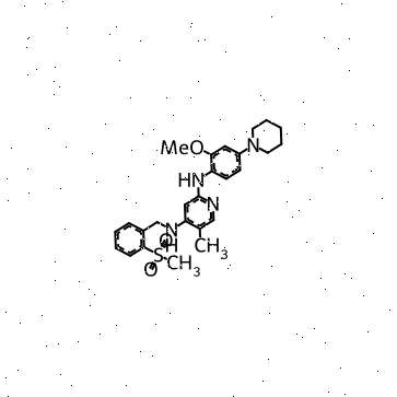 COc1cc(N2CCCCC2)ccc1Nc1cc(NCc2ccccc2S(C)(=O)=O)c(C)cn1